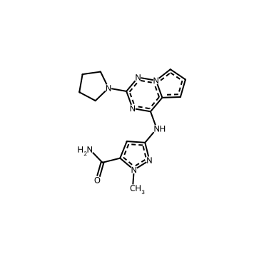 Cn1nc(Nc2nc(N3CCCC3)nn3cccc23)cc1C(N)=O